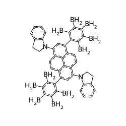 Bc1c(B)c(B)c(-c2cc(N3CCc4ccccc43)c3ccc4c(-c5c(B)c(B)c(B)c(B)c5B)cc(N5CCc6ccccc65)c5ccc2c3c45)c(B)c1B